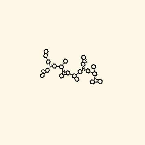 c1ccc(-c2cc(-c3ccc(N(c4ccc(-c5ccc6ccccc6c5)cc4)c4ccc5c(c4)oc4ccccc45)cc3)cc(-n3c4ccccc4c4cc(-c5cc(-c6ccc(N(c7ccc(-c8cc(-n9c%10ccccc%10c%10ccccc%109)ccc8-c8ccccc8)cc7)c7ccc8c(c7)sc7ccccc78)cc6)c6ccccc6c5)ccc43)c2)cc1